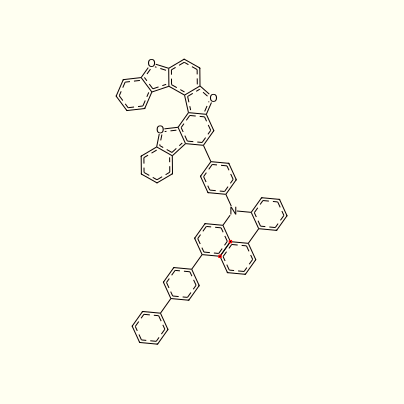 c1ccc(-c2ccc(-c3ccc(N(c4ccc(-c5cc6oc7ccc8oc9ccccc9c8c7c6c6oc7ccccc7c56)cc4)c4ccccc4-c4ccccc4)cc3)cc2)cc1